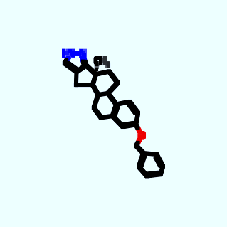 C[C@]12CCC3c4ccc(OCc5ccccc5)cc4CCC3C1Cc1c[nH]nc12